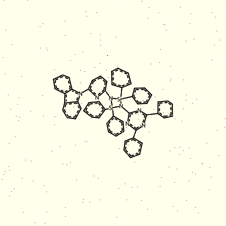 c1ccc(-c2nc(-c3ccccc3)nc(N3[Si](c4ccccc4)(c4ccccc4)N(c4cccc(-n5c6ccccc6c6ccccc65)n4)[Si]3(c3ccccc3)c3ccccc3)n2)cc1